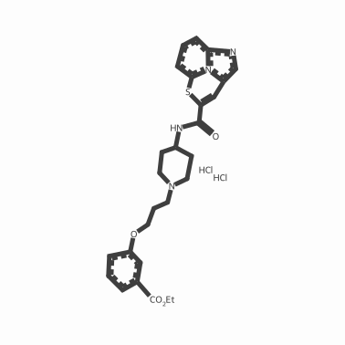 CCOC(=O)c1cccc(OCCCN2CCC(NC(=O)C3=Cc4cnc5cccc(n45)S3)CC2)c1.Cl.Cl